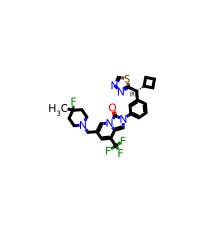 CC1(F)CCN(Cc2cc(C(F)(F)F)c3cn(-c4cccc([C@H](c5nncs5)C5CCC5)c4)c(=O)n3c2)CC1